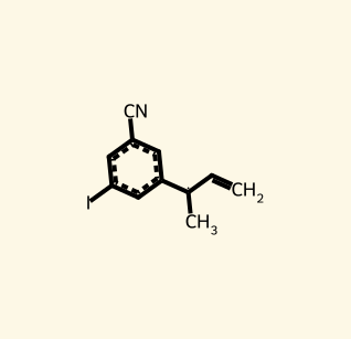 C=C[C](C)c1cc(I)cc(C#N)c1